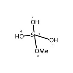 CO[Si](O)(O)O